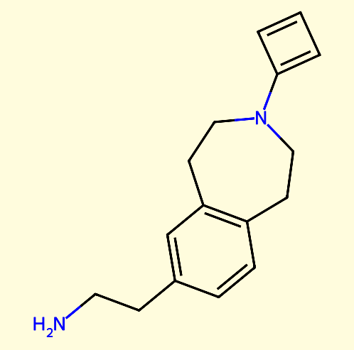 NCCc1ccc2c(c1)CCN(C1=CC=C1)CC2